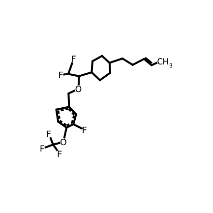 C/C=C/CCC1CCC(C(OCc2ccc(OC(F)(F)F)c(F)c2)C(F)F)CC1